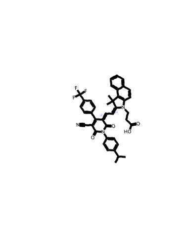 CC(C)c1ccc(N2C(=O)C(C#N)=C(c3ccc(C(F)(F)F)cc3)/C(=C/C=C3/N(CCC(=O)O)c4ccc5ccccc5c4C3(C)C)C2=O)cc1